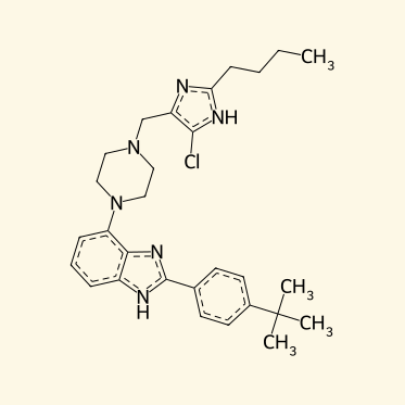 CCCCc1nc(CN2CCN(c3cccc4[nH]c(-c5ccc(C(C)(C)C)cc5)nc34)CC2)c(Cl)[nH]1